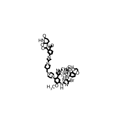 COc1cc(N2CCN(CC3CCN(C4CN(c5ccc6c(c5)C(=O)N(C5CCC(=O)NC5=O)C6=O)C4)CC3)CC2)c(-c2cnn(C)c2)cc1Nc1ncc(Br)c(Nc2ccc3c(c2P(=O)(OC)OC)OCCO3)n1